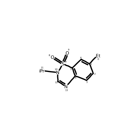 CCc1ccc2c(c1)S(=O)(=O)N(C(C)C)C=N2